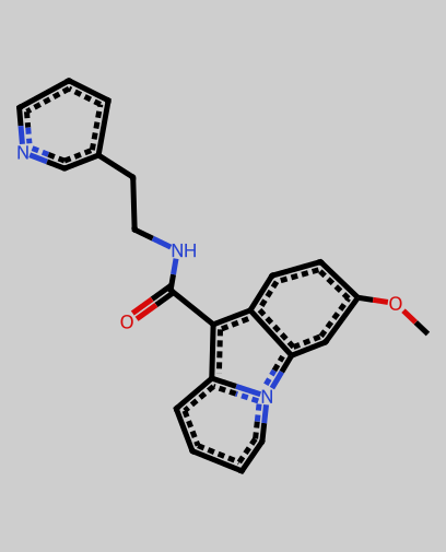 COc1ccc2c(C(=O)NCCc3cccnc3)c3ccccn3c2c1